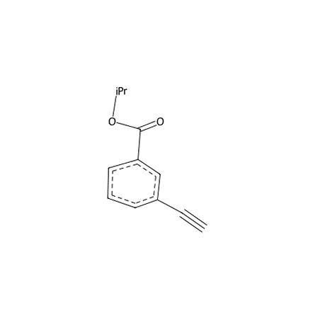 C#Cc1cccc(C(=O)OC(C)C)c1